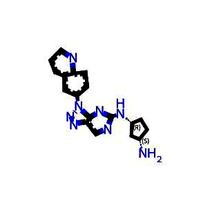 N[C@H]1CC[C@@H](Nc2ncc3nnn(-c4ccc5ncccc5c4)c3n2)C1